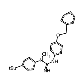 CN(C(=N)Nc1ccc(OCc2ccccc2)cc1)c1ccc(C(C)(C)C)cc1